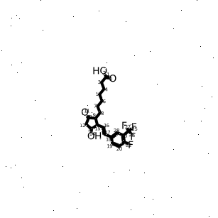 O=C(O)CCCCCCC1C(=O)CC(O)C1C=Cc1ccc(F)c(C(F)(F)F)c1